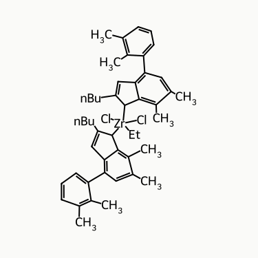 CCCCC1=Cc2c(-c3cccc(C)c3C)cc(C)c(C)c2[CH]1[Zr]([Cl])([Cl])([CH2]C)[CH]1C(CCCC)=Cc2c(-c3cccc(C)c3C)cc(C)c(C)c21